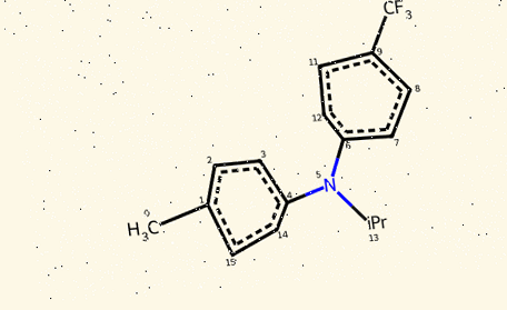 Cc1ccc(N(c2ccc(C(F)(F)F)cc2)C(C)C)cc1